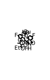 CCC(O)C1C(=O)N(C2c3n[nH]c(=O)c4cc(F)cc(c34)N(C(=O)OC(C)(C)C)C2c2ccc(F)cc2)C(=O)C1C